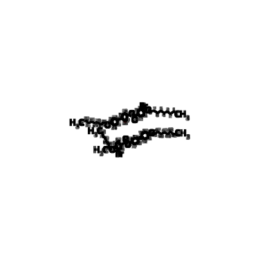 CCCCCCCCCOc1ccc(C(=O)Oc2ccc(-c3ccc(OCCCCCCCC)cc3)cc2)cc1Br.CCCCCCCCOc1ccc(-c2ccc(OC(=O)c3ccc(OC(C)CCCCCC)c(Br)c3)cc2)cc1